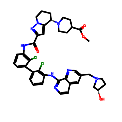 COC(=O)C1CCN([C@H]2CCCn3nc(C(=O)Nc4cccc(-c5cccc(Nc6nccc7cc(CN8CC[C@H](O)C8)cnc67)c5Cl)c4Cl)cc32)CC1